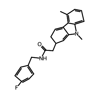 Cc1cccc2c1c1c(n2C)=CC(CC(=O)NCc2ccc(F)cc2)CC=1